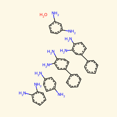 Nc1ccc(-c2ccccc2)cc1N.Nc1ccc(-c2ccccc2)cc1N.Nc1ccc(N)cc1.Nc1cccc(N)c1.Nc1ccccc1N.O